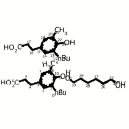 CCCCc1cc(CCC(=O)O)cc(C)c1O.CCCCc1cc(CCC(=O)O)cc(C)c1O.OCCCCCCO